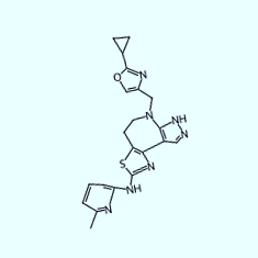 Cc1cccc(Nc2nc3c(s2)CCN(Cc2coc(C4CC4)n2)c2[nH]ncc2-3)n1